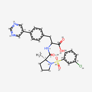 C[C@@]1(C(=O)NC(Cc2ccc(-c3cncnc3)cc2)C(=O)O)CCCN1S(=O)(=O)c1cccc(Cl)c1